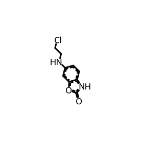 O=c1[nH]c2ccc(NCCCl)cc2o1